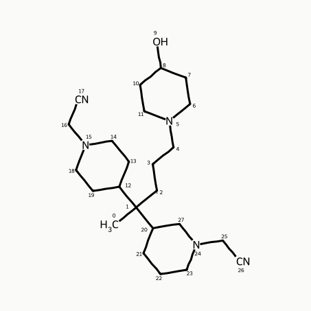 CC([CH]CCN1CCC(O)CC1)(C1CCN(CC#N)CC1)C1CCCN(CC#N)C1